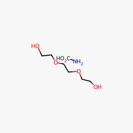 NC(=O)O.OCCOCCOCCO